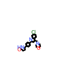 O=C1CCC(c2ccc(-c3cc(CN4CCOCC4)c4ccc(Cl)cc4n3)cc2)N1